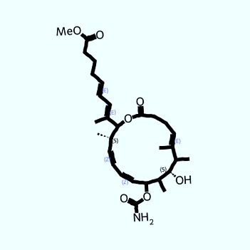 COC(=O)CCC/C=C/C=C(\C)C1OC(=O)CC/C=C(\C)C(C)[C@H](O)C(C)C(OC(N)=O)/C=C\C=C/[C@@H]1C